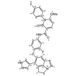 COc1ccc(C(=O)Nc2ccc(Oc3cc4cnn5c4c(c3-c3cn[nH]c3)CC5)c(F)c2)c(=O)n1-c1ccc(F)cc1